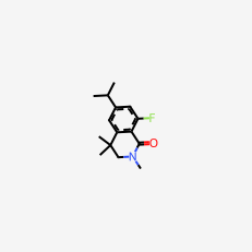 CC(C)c1cc(F)c2c(c1)C(C)(C)CN(C)C2=O